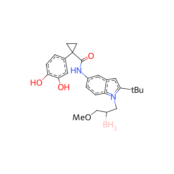 BC(COC)Cn1c(C(C)(C)C)cc2cc(NC(=O)C3(c4ccc(O)c(O)c4)CC3)ccc21